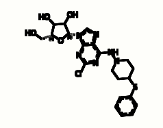 OC[C@H]1O[C@@H](n2cnc3c(NN4CCC(Sc5ccccc5)CC4)nc(Cl)nc32)C(O)C1O